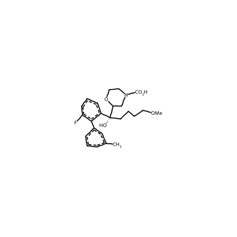 COCCCC[C@@](O)(c1cccc(F)c1-c1cccc(C)c1)C1CN(C(=O)O)CCO1